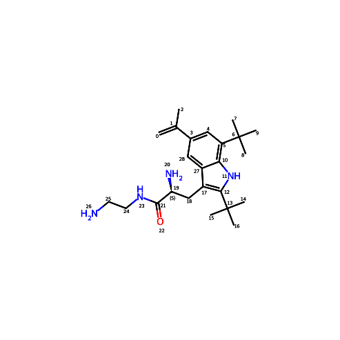 C=C(C)c1cc(C(C)(C)C)c2[nH]c(C(C)(C)C)c(C[C@H](N)C(=O)NCCN)c2c1